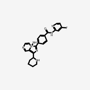 N[N+]12C=CN=CC1=C(C1CCCCN1)N=C2c1ccc(C(=O)Nc2cc(F)ccn2)cc1